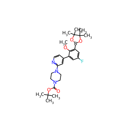 COc1c(B2OC(C)(C)C(C)(C)O2)cc(F)cc1-c1ccnc(N2CCN(C(=O)OC(C)(C)C)CC2)c1